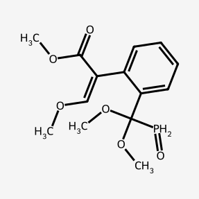 COC=C(C(=O)OC)c1ccccc1C(OC)(OC)[PH2]=O